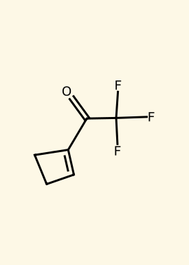 O=C(C1=CCC1)C(F)(F)F